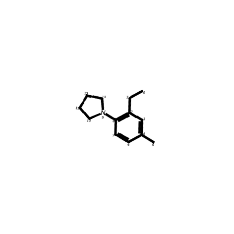 CCc1cc(C)ccc1N1CCCC1